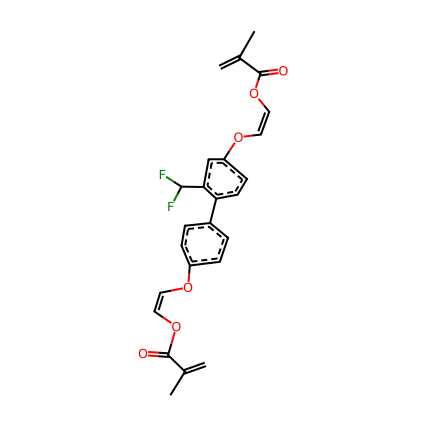 C=C(C)C(=O)O/C=C\Oc1ccc(-c2ccc(O/C=C\OC(=O)C(=C)C)cc2C(F)F)cc1